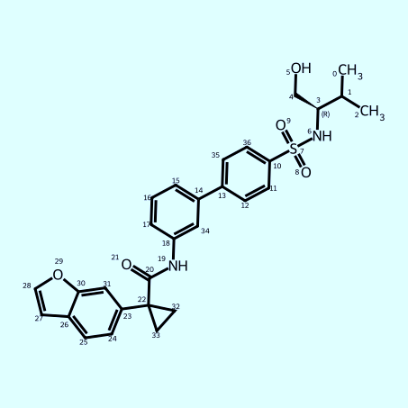 CC(C)[C@H](CO)NS(=O)(=O)c1ccc(-c2cccc(NC(=O)C3(c4ccc5ccoc5c4)CC3)c2)cc1